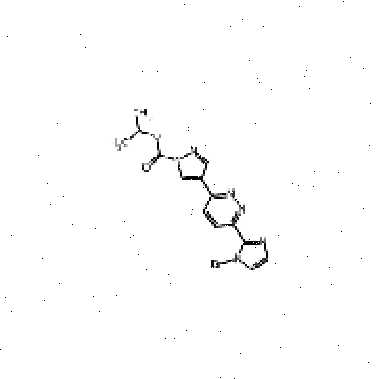 CC(C)OC(=O)n1cc(-c2ccc(-c3nccn3Br)nn2)cn1